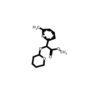 COC(=O)C(OC1CCCCO1)c1cccc(C)n1